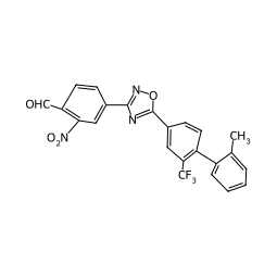 Cc1ccccc1-c1ccc(-c2nc(-c3ccc(C=O)c([N+](=O)[O-])c3)no2)cc1C(F)(F)F